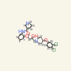 O=C(Nc1ccccc1OCC(O)CN1CCC(Oc2ccc(Cl)c(Cl)c2)CC1)c1cccnc1